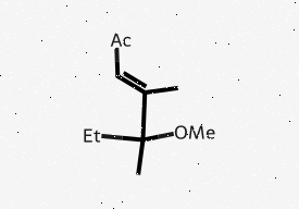 CCC(C)(OC)C(C)=CC(C)=O